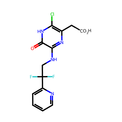 O=C(O)Cc1nc(NCC(F)(F)c2ccccn2)c(=O)[nH]c1Cl